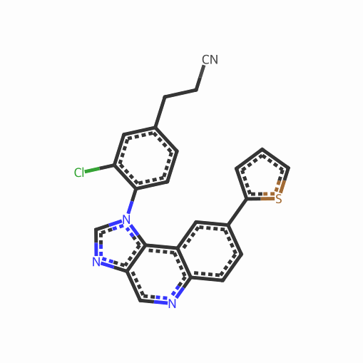 N#CCCc1ccc(-n2cnc3cnc4ccc(-c5cccs5)cc4c32)c(Cl)c1